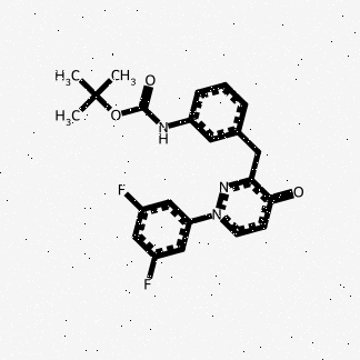 CC(C)(C)OC(=O)Nc1cccc(Cc2nn(-c3cc(F)cc(F)c3)ccc2=O)c1